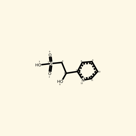 O=S(=O)(O)CC(O)c1ccccn1